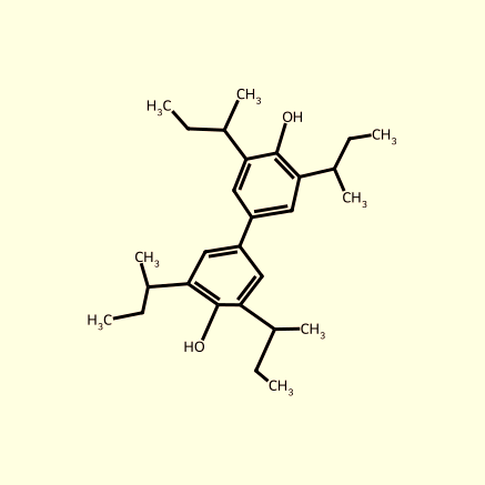 CCC(C)c1cc(-c2cc(C(C)CC)c(O)c(C(C)CC)c2)cc(C(C)CC)c1O